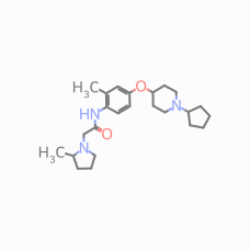 Cc1cc(OC2CCN(C3CCCC3)CC2)ccc1NC(=O)CN1CCCC1C